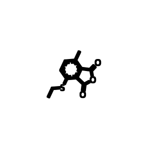 CCSc1ccc(C)c2c1C(=O)OC2=O